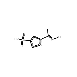 C/C(=N\O)c1cc(S(=O)(=O)O)cs1